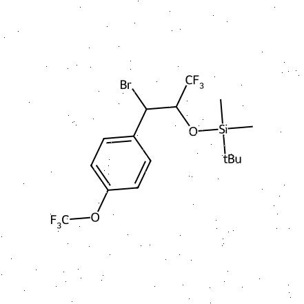 CC(C)(C)[Si](C)(C)OC(C(Br)c1ccc(OC(F)(F)F)cc1)C(F)(F)F